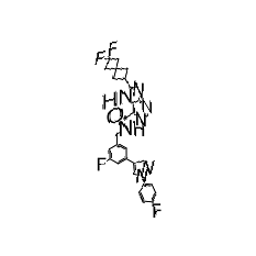 O=C(NCc1cc(F)cc(-c2cnn(-c3ccc(F)cc3)c2)c1)c1ncnc2nc(C3CC4(C3)CC(F)(F)C4)[nH]c12